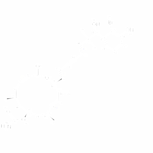 C[C@H]1C/C=C\C(=O)O[C@@H](/C=C/C#C/C=C/C(C)(C)[C@H](O)c2cccc(O)c2Br)[C@H](C)/C=C/[C@@H](C)C[C@@H](OC(N)=O)C1